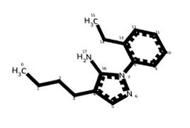 CCCCc1cnn(-c2ccccc2CC)c1N